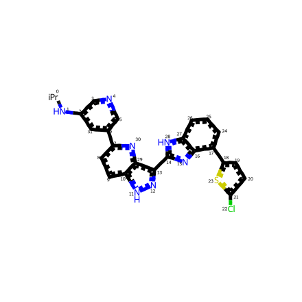 CC(C)Nc1cncc(-c2ccc3[nH]nc(-c4nc5c(-c6ccc(Cl)s6)cccc5[nH]4)c3n2)c1